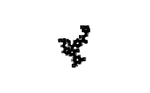 CC(C)(C)CC[C@H](c1ccc(C(=O)NCc2nn[nH]n2)cc1)N1C(=O)C(c2cc(Cl)cc(Cl)c2)=NC12CCN(CCC(C)(C)C)C2